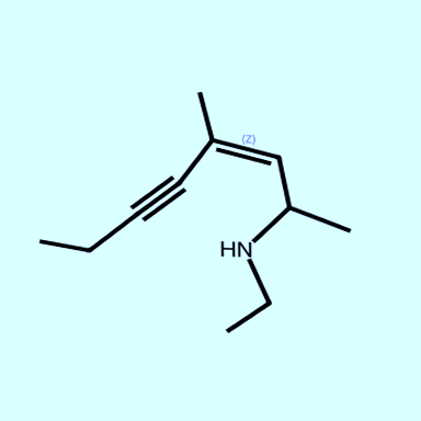 CCC#C/C(C)=C\C(C)NCC